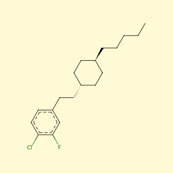 CCCCC[C@H]1CC[C@H](CCc2ccc(Cl)c(F)c2)CC1